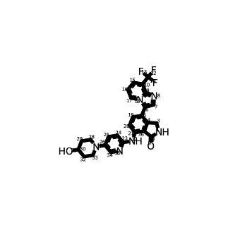 O=C1NCc2c(-c3cnc4c(C(F)(F)F)cccn34)ccc(Nc3ccc(N4CCC(O)CC4)cn3)c21